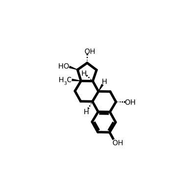 C[C@]12CC[C@@H]3c4ccc(O)cc4[C@@H](O)C[C@H]3[C@@H]1C[C@@H](O)[C@@H]2O